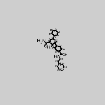 NC(=O)c1cc(-c2ccccc2)nc2c1[nH]c1cc(C(=O)NCCN3CCOCC3)ccc12